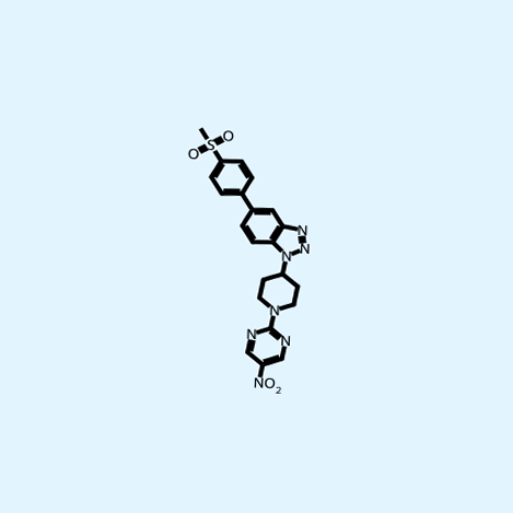 CS(=O)(=O)c1ccc(-c2ccc3c(c2)nnn3C2CCN(c3ncc([N+](=O)[O-])cn3)CC2)cc1